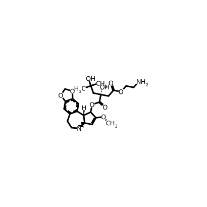 COC1=CC23CCCN2CCc2cc4c(cc2[C@@H]3C1OC(=O)[C@](O)(CC(=O)OCCN)CC(C)(C)O)OCO4